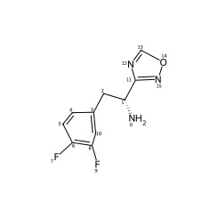 N[C@H](Cc1ccc(F)c(F)c1)c1ncon1